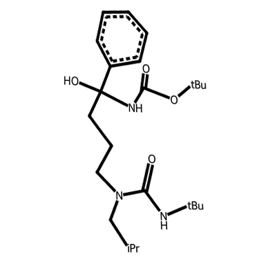 CC(C)CN(CCCC(O)(NC(=O)OC(C)(C)C)c1ccccc1)C(=O)NC(C)(C)C